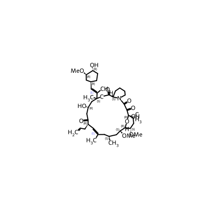 C=CC[C@@H]1/C=C(\C)C[C@H](C)C[C@H](OC)[C@H]2O[C@@](O)(C(=O)C(=O)N3CCCC[C@H]3C(=O)C[C@@](C)(/C(C)=C/[C@@H]3CC[C@@H](O)[C@H](OC)C3)C[C@@H](O)CC1=O)[C@H](C)C[C@@H]2OC